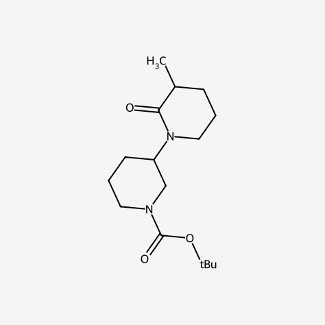 CC1CCCN(C2CCCN(C(=O)OC(C)(C)C)C2)C1=O